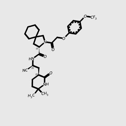 CC1(C)CC[C@@H](C[C@@H](C#N)NC(=O)[C@@H]2CC3(CCCCC3)CN2C(=O)COc2ccc(OC(F)(F)F)cc2)C(=O)N1